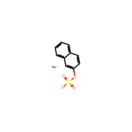 O=S(=O)([O-])Oc1ccc2ccccc2c1.[Na+]